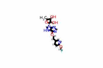 C[C@H]1O[C@@H](N2CNc3c(OCCc4ccc(OCF)nc4)ncnc32)[C@H](O)[C@@H]1O